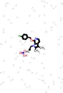 C#CCn1c(C)c(C)c2ccnc(OCc3ccc(F)cc3)c21.O=[N+]([O-])O